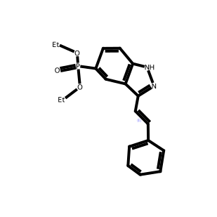 CCOP(=O)(OCC)c1ccc2[nH]nc(/C=C/c3ccccc3)c2c1